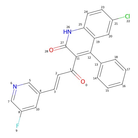 O=C(/C=C/c1cncc(F)c1)c1c(-c2ccccc2)c2cc(Cl)ccc2[nH]c1=O